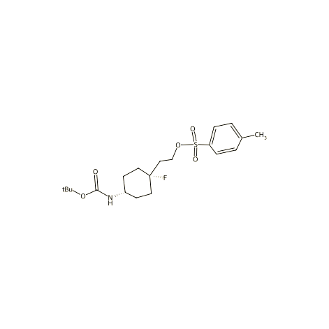 Cc1ccc(S(=O)(=O)OCC[C@]2(F)CC[C@@H](NC(=O)OC(C)(C)C)CC2)cc1